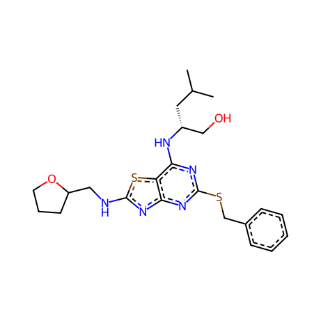 CC(C)C[C@H](CO)Nc1nc(SCc2ccccc2)nc2nc(NCC3CCCO3)sc12